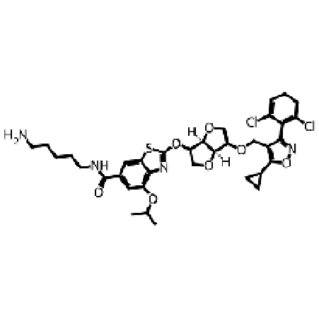 CC(C)Oc1cc(C(=O)NCCCCCN)cc2sc(OC3CO[C@@H]4C(OCc5c(C6=C(Cl)CCC=C6Cl)noc5C5CC5)CO[C@H]34)nc12